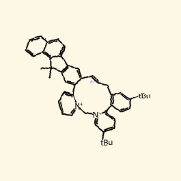 CC(C)(C)c1ccc2c(c1)C/C=C/c1cc3c(cc1-c1cccc[n+]1C[n+]1cc(C(C)(C)C)ccc1-2)C(C)(C)c1c-3ccc2ccccc12